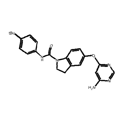 CC(C)(C)c1ccc(NC(=O)N2CCc3cc(Oc4cc(N)ncn4)ccc32)cc1